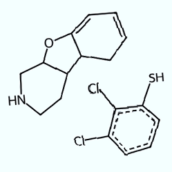 C1=CCC2C(=C1)OC1CNCCC12.Sc1cccc(Cl)c1Cl